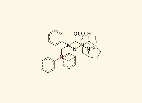 O=C(O)[C@@H]1[C@H]2CCC(CN1C(=O)N(c1ccccc1)c1ccccc1)N2C(=O)N1CCN(c2ccccc2)CC1